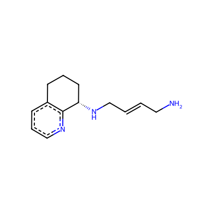 NCC=CCN[C@H]1CCCc2cccnc21